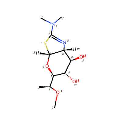 CO[C@@H](C)[C@H]1O[C@@H]2SC(N(C)C)=N[C@@H]2[C@@H](O)[C@@H]1O